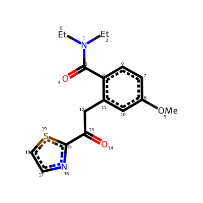 CCN(CC)C(=O)c1ccc(OC)cc1CC(=O)c1nccs1